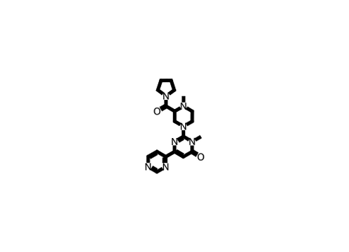 CN1CCN(c2nc(-c3ccncn3)cc(=O)n2C)CC1C(=O)N1CCCC1